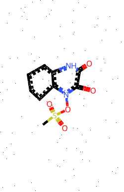 CS(=O)(=O)On1c(=O)c(=O)[nH]c2ccccc21